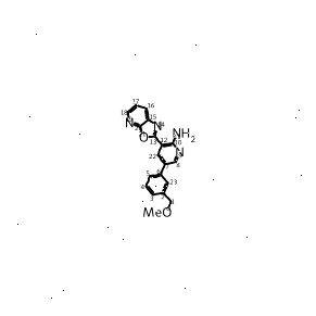 COCc1cccc(-c2cnc(N)c(-c3nc4cccnc4o3)c2)c1